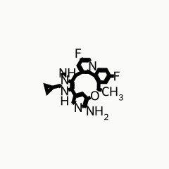 CC1Oc2cc(cnc2N)/C(NCC2CC2)=C(/N=N)Cc2cc(F)cnc2-c2ccc(F)cc21